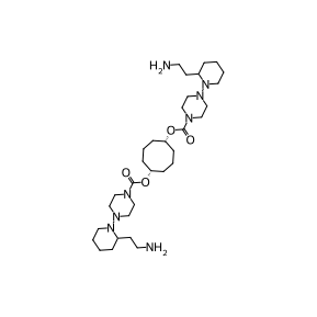 NCCC1CCCCN1N1CCN(C(=O)O[C@H]2CCC[C@@H](OC(=O)N3CCN(N4CCCCC4CCN)CC3)CCC2)CC1